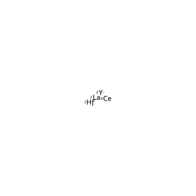 [Ce].[Hf].[La].[Y]